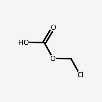 O=C(O)OCCl